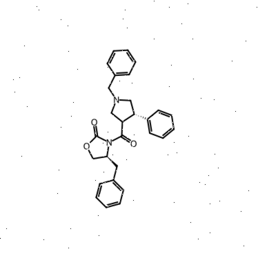 O=C1OC[C@H](Cc2ccccc2)N1C(=O)C1CN(Cc2ccccc2)C[C@@H]1c1ccccc1